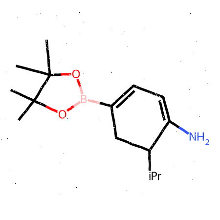 CC(C)C1CC(B2OC(C)(C)C(C)(C)O2)=CC=C1N